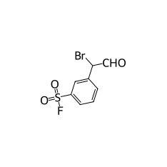 O=CC(Br)c1cccc(S(=O)(=O)F)c1